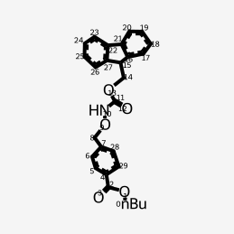 CCCCOC(=O)c1ccc(CONC(=O)OCC2c3ccccc3-c3ccccc32)cc1